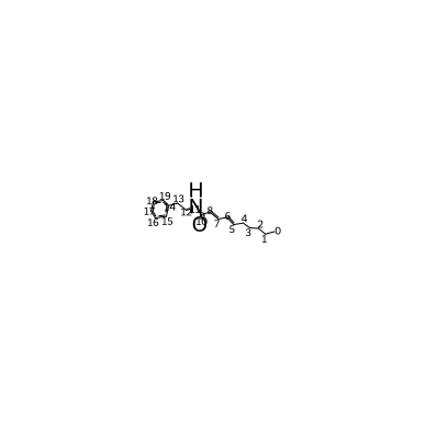 CCCCCC=CC=CC(=O)NCCc1ccccc1